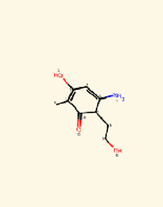 CC1=C(O)C=C(N)C(CCO)C1=O